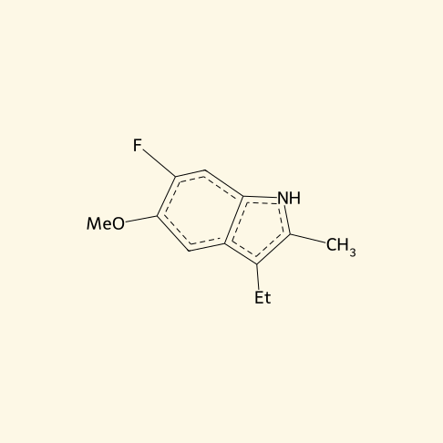 CCc1c(C)[nH]c2cc(F)c(OC)cc12